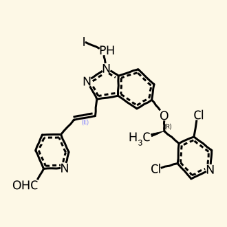 C[C@@H](Oc1ccc2c(c1)c(/C=C/c1ccc(C=O)nc1)nn2PI)c1c(Cl)cncc1Cl